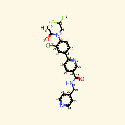 CC(=O)N(CC(F)F)c1ccc(-c2ccc(C(=O)NCc3ccncc3)cn2)cc1Cl